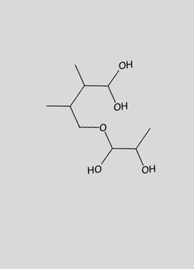 CC(O)C(O)OCC(C)C(C)C(O)O